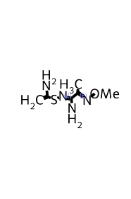 C=C(N)S/N=C(N)/C(C)=N/OC